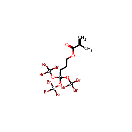 C=C(C)C(=O)OCCC[Si](O[Si](Br)(Br)Br)(O[Si](Br)(Br)Br)O[Si](Br)(Br)Br